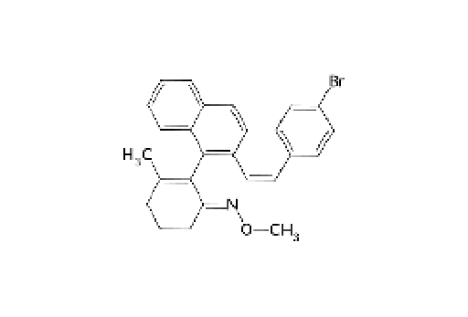 CON=C1CCCC(C)=C1c1c(C=Cc2ccc(Br)cc2)ccc2ccccc12